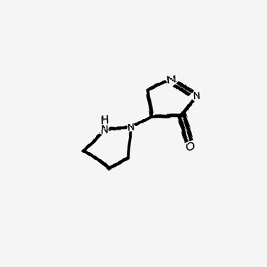 O=C1N=NCC1N1CCCN1